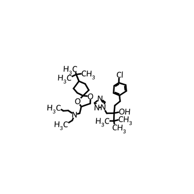 CC(C)(C)C(O)(CCc1ccc(Cl)cc1)Cn1cncn1.CCCN(CC)CC1COC2(CCC(C(C)(C)C)CC2)O1